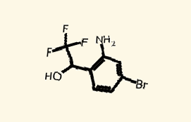 Nc1cc(Br)ccc1C(O)C(F)(F)F